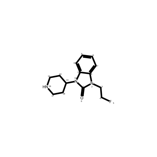 O=c1n(CCF)c2ccccc2n1C1CCNCC1